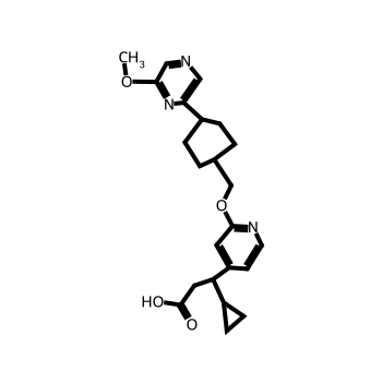 COc1cncc(C2CCC(COc3cc(C(CC(=O)O)C4CC4)ccn3)CC2)n1